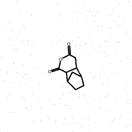 O=C1CC2C3CCC(C3)C2C(=O)O1